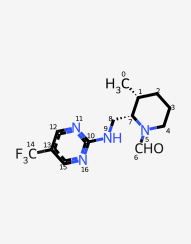 C[C@@H]1CCCN(C=O)[C@@H]1CNc1ncc(C(F)(F)F)cn1